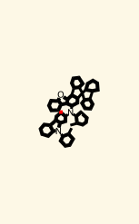 Cc1ccccc1N(c1ccc2c3ccccc3n(-c3ccccc3C)c2c1)c1cc2c(c3oc4ccccc4c13)-c1ccccc1C21c2ccccc2-c2ccccc21